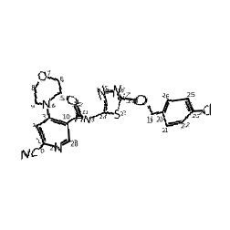 N#Cc1cc(N2CCOCC2)c(C(=O)Nc2nnc(OCc3ccc(Cl)cc3)s2)cn1